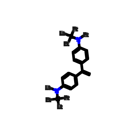 C=C(c1ccc(N(CC)[Si](CC)(CC)CC)cc1)c1ccc(N(CC)[Si](CC)(CC)CC)cc1